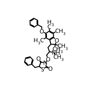 CNC(CON1C(=O)SC(Cc2ccccc2)C1=O)CC1c2c(C)c(OCc3ccccc3)c(C)c(C)c2OC1(C)C